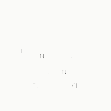 CCC1N(Cl)c2ccccc2N1CC